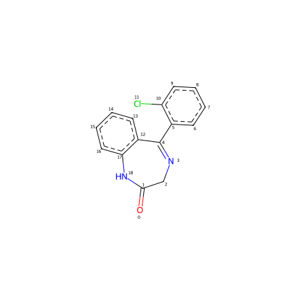 O=C1CN=C(c2ccccc2Cl)c2ccccc2N1